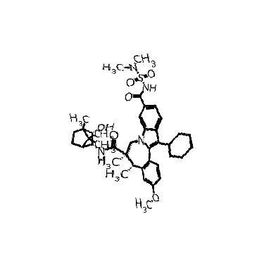 COc1ccc2c(c1)[C@H](C)[C@@](C)(C(=O)N[C@@H]1C3CCC(C)([C@@H]1O)C3(C)C)Cn1c-2c(C2CCCCC2)c2ccc(C(=O)NS(=O)(=O)N(C)C)cc21